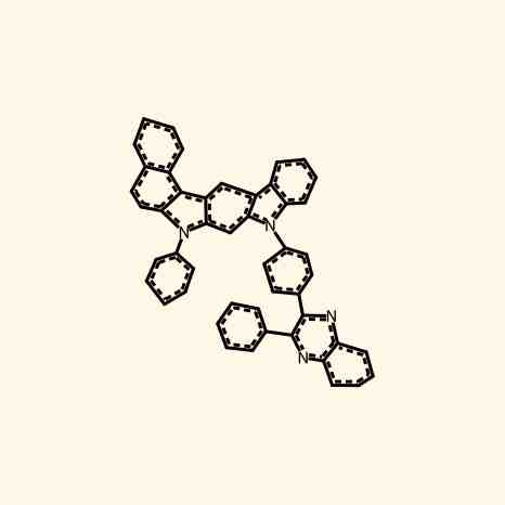 c1ccc(-c2nc3ccccc3nc2-c2ccc(-n3c4ccccc4c4cc5c6c7ccccc7ccc6n(-c6ccccc6)c5cc43)cc2)cc1